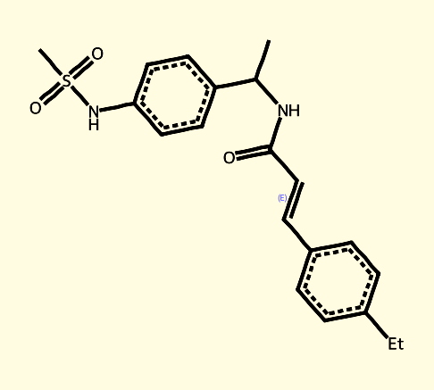 CCc1ccc(/C=C/C(=O)NC(C)c2ccc(NS(C)(=O)=O)cc2)cc1